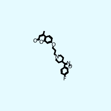 Cc1cc(=O)oc2cc(OCCCN3CCC(c4noc5cc(F)ccc45)CC3)ccc12